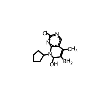 BC1=C(C)c2cnc(Cl)nc2N(C2CCCC2)C1O